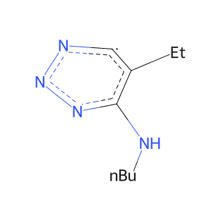 CCCCNc1nnn[c]c1CC